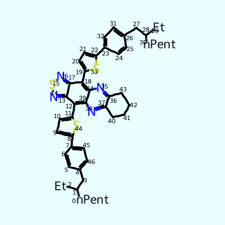 CCCCCC(CC)Cc1ccc(-c2ccc(-c3c4nsnc4c(-c4ccc(-c5ccc(CC(CC)CCCCC)cc5)s4)c4nc5c(nc34)CCCC5)s2)cc1